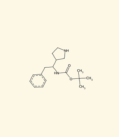 CC(C)(C)OC(=O)NC(Cc1ccccc1)C1CCNC1